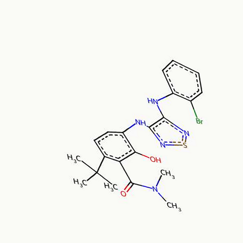 CN(C)C(=O)c1c(C(C)(C)C)ccc(Nc2nsnc2Nc2ccccc2Br)c1O